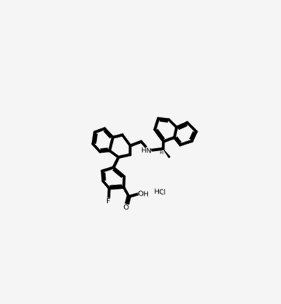 C[C@@H](NCC1Cc2ccccc2C(c2ccc(F)c(C(=O)O)c2)C1)c1cccc2ccccc12.Cl